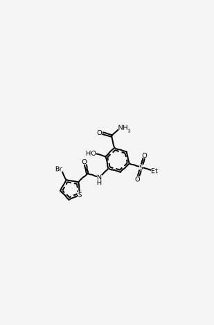 CCS(=O)(=O)c1cc(NC(=O)c2sccc2Br)c(O)c(C(N)=O)c1